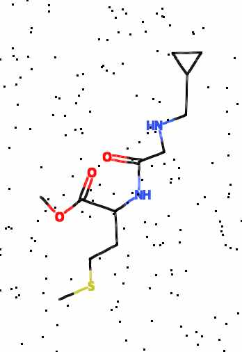 COC(=O)C(CCSC)NC(=O)CNCC1CC1